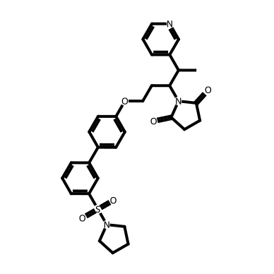 CC(c1cccnc1)C(CCOc1ccc(-c2cccc(S(=O)(=O)N3CCCC3)c2)cc1)N1C(=O)CCC1=O